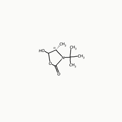 C[C@H]1C(O)OC(=O)N1C(C)(C)C